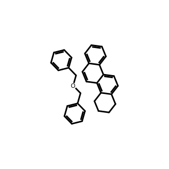 c1ccc(COCc2ccccc2)cc1.c1ccc2c(c1)ccc1c3c(ccc12)CCCC3